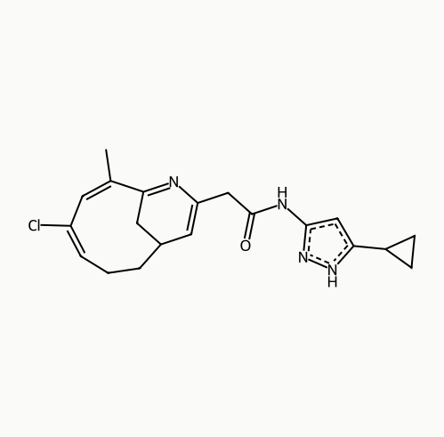 C/C1=C/C(Cl)=C\CCC2C=C(CC(=O)Nc3cc(C4CC4)[nH]n3)N=C1C2